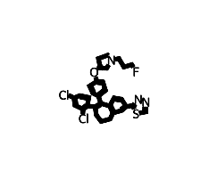 FCCCN1CC[C@H](Oc2ccc(C3=C(c4ccc(Cl)cc4Cl)CCCc4cc(-c5nncs5)ccc43)cc2)C1